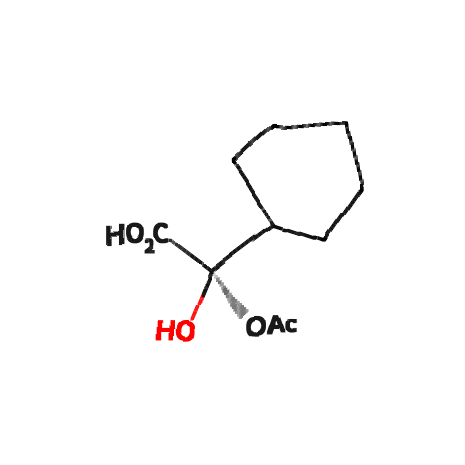 CC(=O)O[C@](O)(C(=O)O)C1CCCCC1